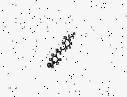 CCCC1CCC(CCC=CC2CCC(C=O)CC2)CC1